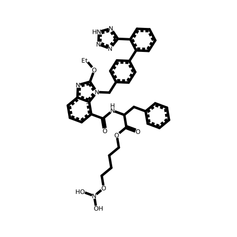 CCOc1nc2cccc(C(=O)NC(Cc3ccccc3)C(=O)OCCCCON(O)O)c2n1Cc1ccc(-c2ccccc2-c2nn[nH]n2)cc1